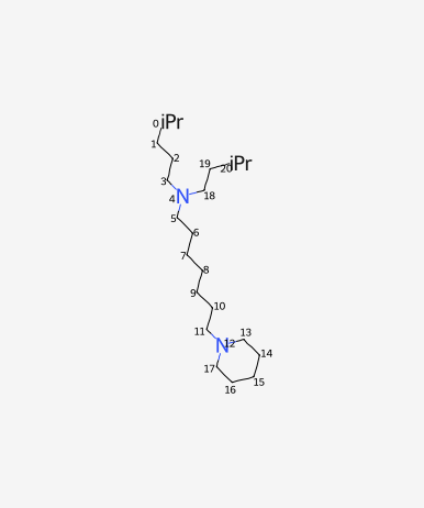 CC(C)CCCN(CCCCCCCN1CCCCC1)CCC(C)C